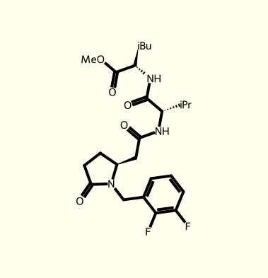 CC[C@H](C)[C@H](NC(=O)[C@@H](NC(=O)C[C@@H]1CCC(=O)N1Cc1cccc(F)c1F)C(C)C)C(=O)OC